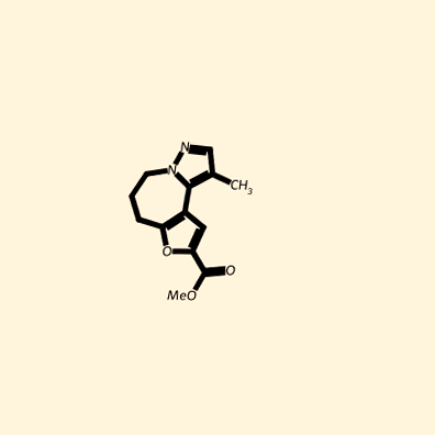 COC(=O)c1cc2c(o1)CCCn1ncc(C)c1-2